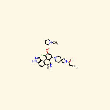 C=CC(=O)N1CC2(CCN(c3cc(OC[C@@H]4CCCN4C)c(F)c(-c4c(C)ccc5[nH]ncc45)c3C#N)CC2)C1